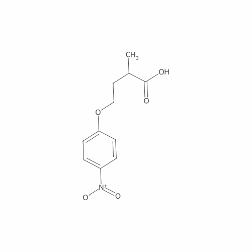 CC(CCOc1ccc([N+](=O)[O-])cc1)C(=O)O